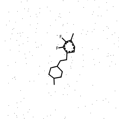 Cc1ccc(CCC2CCC(C)CC2)c(F)c1F